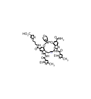 CCn1nc(C)cc1C(=O)Nc1nc2cc(C(N)=O)cc3c2n1C/C=C/Cn1c(NC(=O)c2cc(C)nn2CC)nc2cc(C(=O)NCCCn4cc(C(=O)O)cn4)cc(c21)OC[C@@H](N1C2CCC1COC2)CO3